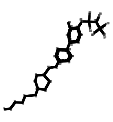 CCCCCCC1CCC(CCc2ccc(-c3ccc(OC(F)(F)C(F)C(F)(F)F)c(C)c3)cc2)CC1